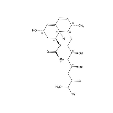 CC[C@H](C)C(=O)O[C@H]1C[C@H](O)C=C2C=C[C@H](C)[C@H](CC[C@@H](O)C[C@@H](O)CC(=O)C(C)C(C)C)[C@H]21